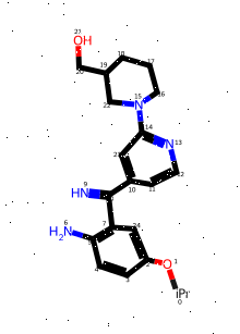 CC(C)Oc1ccc(N)c(C(=N)c2ccnc(N3CCCC(CO)C3)c2)c1